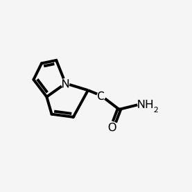 NC(=O)CC1C=Cc2cccn21